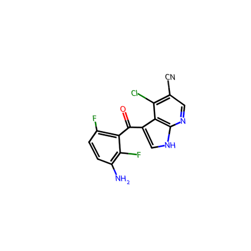 N#Cc1cnc2[nH]cc(C(=O)c3c(F)ccc(N)c3F)c2c1Cl